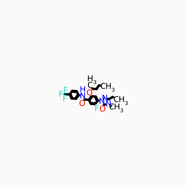 CCCC(C)Oc1cc(-n2nc(CC)n(C)c2=O)c(F)cc1C(=O)Nc1ccc(C(F)(F)F)cc1